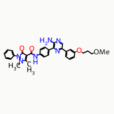 COCCCOc1cccc(-c2cnc(N)c(-c3ccc(NC(=O)c4c(C)n(C)n(-c5ccccc5)c4=O)cc3)n2)c1